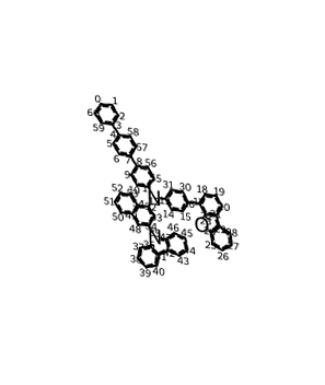 c1ccc(-c2ccc(-c3ccc(N(c4ccc(-c5cccc6c5oc5ccccc56)cc4)c4cc(-n5c6ccccc6c6ccccc65)cc5ccccc45)cc3)cc2)cc1